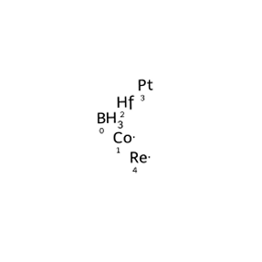 B.[Co].[Hf].[Pt].[Re]